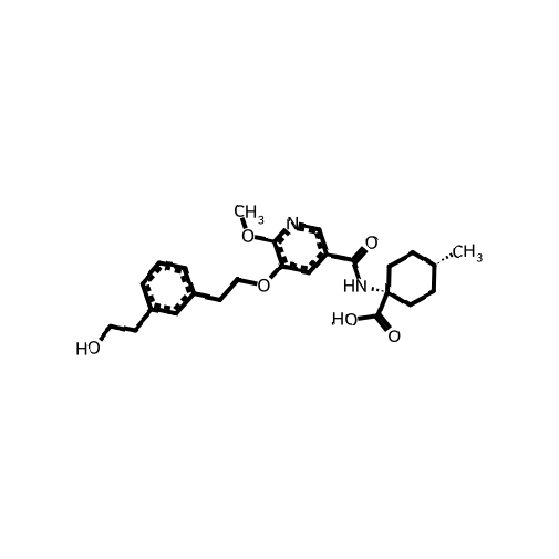 COc1ncc(C(=O)N[C@]2(C(=O)O)CC[C@H](C)CC2)cc1OCCc1cccc(CCO)c1